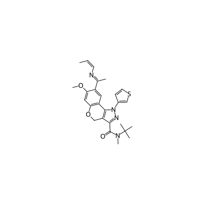 C/C=C\N=C(/C)c1cc2c(cc1OC)OCc1c(C(=O)N(C)C(C)(C)C)nn(-c3ccsc3)c1-2